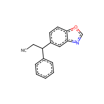 N#CCC(c1ccccc1)c1ccc2ocnc2c1